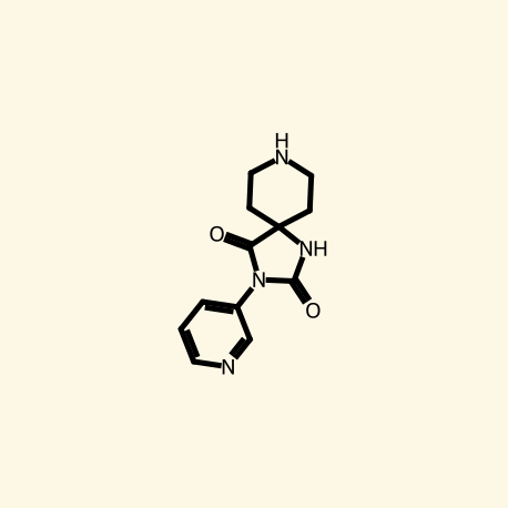 O=C1NC2(CCNCC2)C(=O)N1c1cccnc1